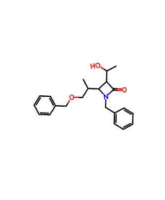 CC(O)C1C(=O)N(Cc2ccccc2)C1C(C)COCc1ccccc1